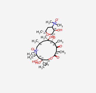 CC[C@H]1OC(=O)[C@H](C)C(=O)[C@H](C)[C@@H](O[C@@H]2O[C@H](C)CC([N+](C)(C)[O-])[C@H]2O)[C@](C)(O)C[C@@H](C)C[N+](C)([O-])[C@H](C)[C@@H](O)[C@]1(C)O